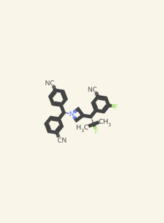 CC(C)(F)[C@@H](c1cc(F)cc(C#N)c1)C1CN([C@@H](c2ccc(C#N)cc2)c2cccc(C#N)c2)C1